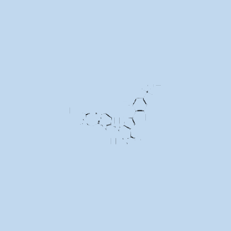 CN(Cc1nccc(Nc2sc(-c3c(F)cc(C(C)(C)O)cc3F)cc2C(N)=O)n1)C(=O)O